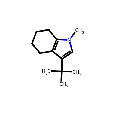 Cn1cc(C(C)(C)C)c2c1CCCC2